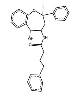 O=C(CCCc1ccccc1)NC1CC(I)(c2ccccc2)Oc2ccccc2C1O